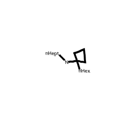 CCCCCCC[N]C1(CCCCCC)CCC1